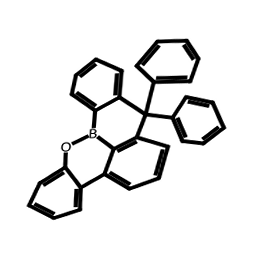 c1ccc(C2(c3ccccc3)c3ccccc3B3Oc4ccccc4-c4cccc2c43)cc1